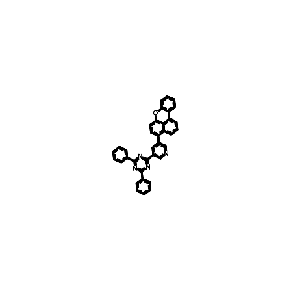 c1ccc(-c2nc(-c3ccccc3)nc(-c3cncc(-c4ccc5c6c(cccc46)-c4ccccc4O5)c3)n2)cc1